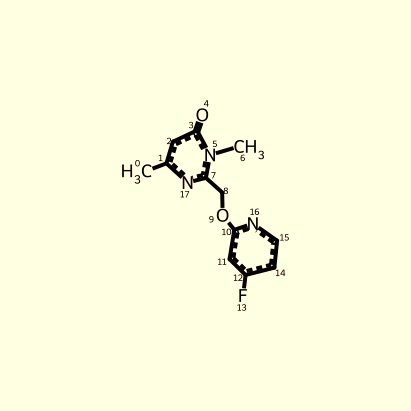 Cc1cc(=O)n(C)c(COc2cc(F)ccn2)n1